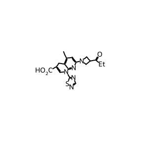 CCC(=O)C1CN(c2cc(C)c3c(n2)N(c2ncns2)C=C(C(=O)O)C3)C1